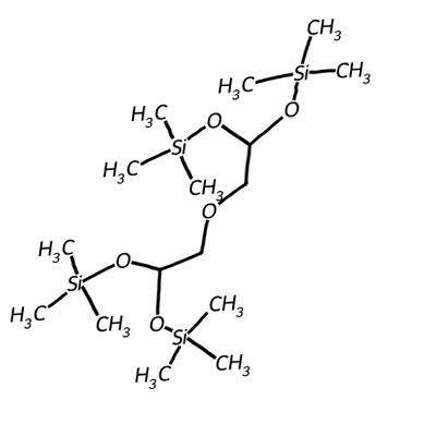 C[Si](C)(C)OC(COCC(O[Si](C)(C)C)O[Si](C)(C)C)O[Si](C)(C)C